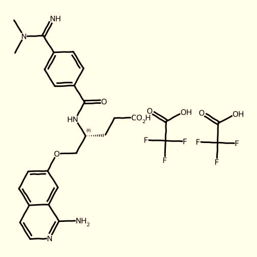 CN(C)C(=N)c1ccc(C(=O)N[C@H](CCC(=O)O)COc2ccc3ccnc(N)c3c2)cc1.O=C(O)C(F)(F)F.O=C(O)C(F)(F)F